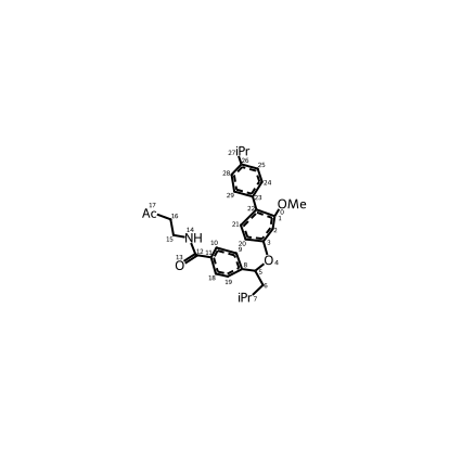 COc1cc(OC(CC(C)C)c2ccc(C(=O)NCCC(C)=O)cc2)ccc1-c1ccc(C(C)C)cc1